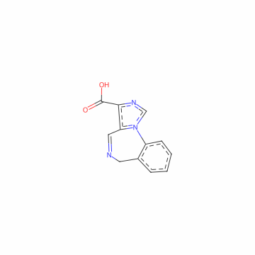 O=C(O)c1ncn2c1C=NCc1ccccc1-2